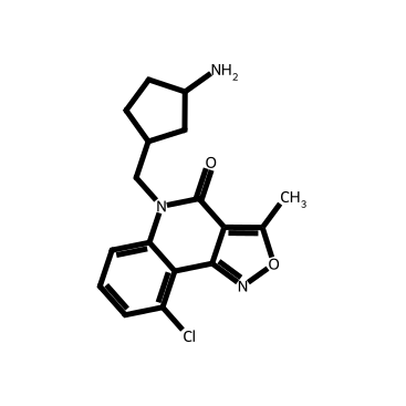 Cc1onc2c1c(=O)n(CC1CCC(N)C1)c1cccc(Cl)c21